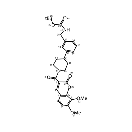 COc1ccc2cc(C(=O)N3CCC(c4cccc(CNC(=O)OC(C)(C)C)c4)CC3)c(=O)oc2c1OC